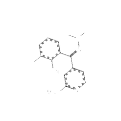 COc1cc(/C(=N/[S+]([O-])C(C)(C)C)c2cccc(F)c2C#N)ccn1